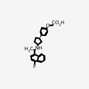 C[C@@H](NC1CC[C@@H](c2ccc(OCC(=O)O)cc2)C1)c1ccc(F)c2ccccc12